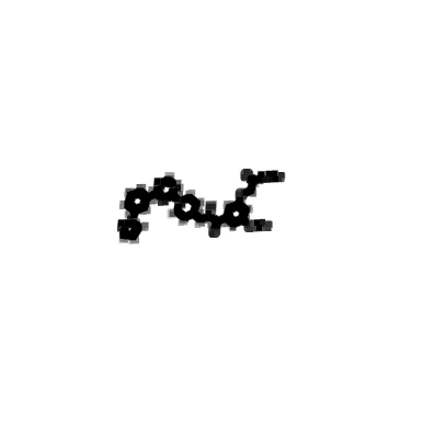 CNC(=O)COc1cc(OC)cc(C(=O)NCC2CCN(c3ncnc(-c4cccc(-n5cccn5)c4)n3)CC2)c1